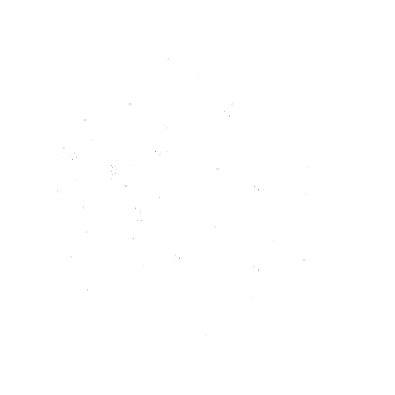 CN(c1ccccc1)c1c(C#N)c(-n2c3ccccc3c3ccccc32)c(C#N)c(-n2c3ccccc3c3ccccc32)c1-n1c2ccccc2c2ccccc21